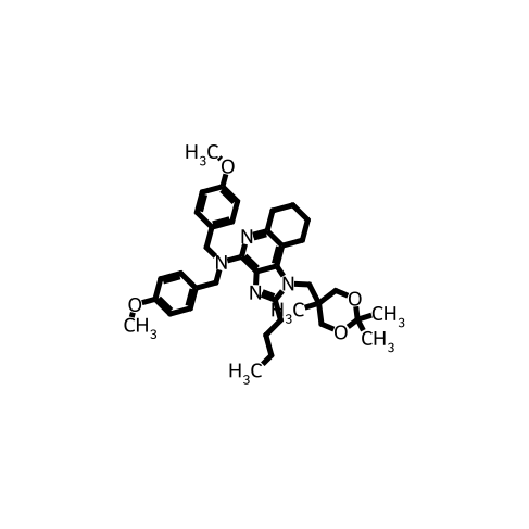 CCCCc1nc2c(N(Cc3ccc(OC)cc3)Cc3ccc(OC)cc3)nc3c(c2n1CC1(C)COC(C)(C)OC1)CCCC3